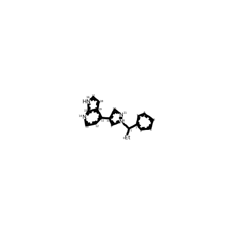 CCC(c1ccccc1)n1cc(-c2ccnc3[nH]ccc23)cn1